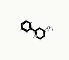 C[C@@H]1CCN=C(c2ccccc2)C1